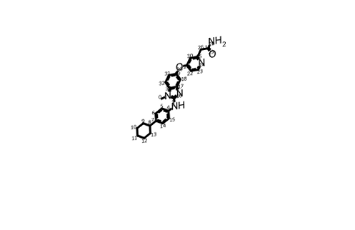 Cn1c(Nc2ccc(C3CCCCC3)cc2)nc2cc(Oc3ccnc(CC(N)=O)c3)ccc21